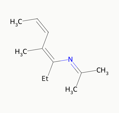 C/C=C\C(C)=C(\CC)N=C(C)C